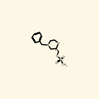 CS(=O)(=O)OC[C@H]1CN(Cc2ccccc2)CCO1